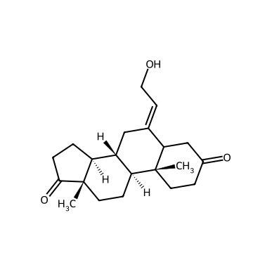 C[C@]12CCC(=O)CC1/C(=C/CO)C[C@@H]1[C@@H]2CC[C@]2(C)C(=O)CC[C@@H]12